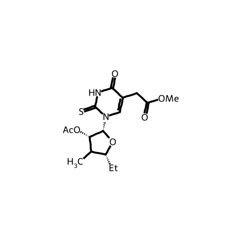 CC[C@H]1O[C@@H](n2cc(CC(=O)OC)c(=O)[nH]c2=S)[C@@H](OC(C)=O)C1C